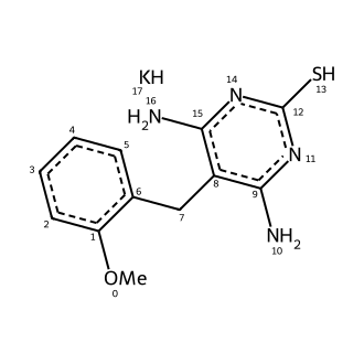 COc1ccccc1Cc1c(N)nc(S)nc1N.[KH]